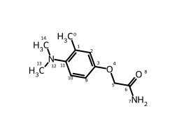 Cc1cc(OCC(N)=O)ccc1N(C)C